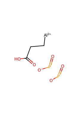 O=C(O)C[CH2][Al+2].O=P[O-].O=P[O-]